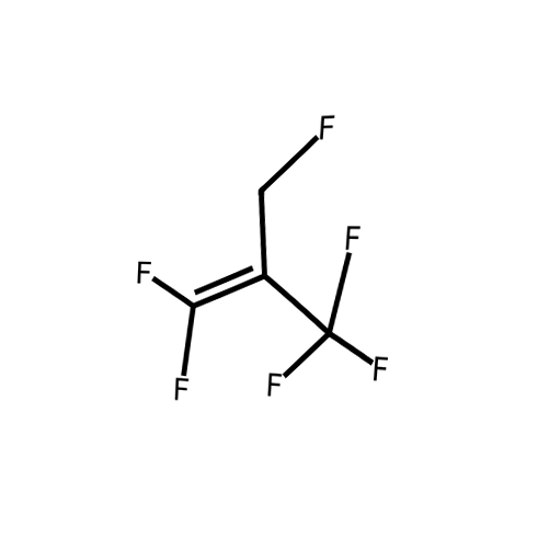 FCC(=C(F)F)C(F)(F)F